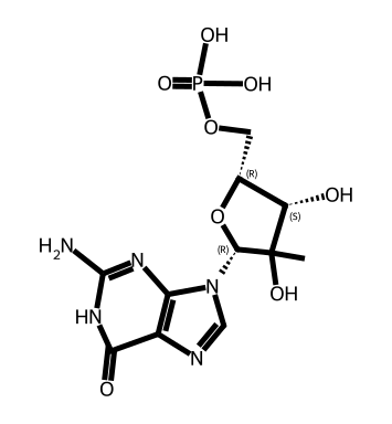 CC1(O)[C@@H](O)[C@@H](COP(=O)(O)O)O[C@H]1n1cnc2c(=O)[nH]c(N)nc21